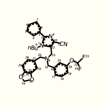 CCCCn1c(-c2ccccc2)nc(C#N)c1CN(Cc1cccc(OC(F)F)c1)Cc1ccc2c(c1)OCO2